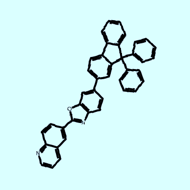 c1ccc(C2(c3ccccc3)c3ccccc3-c3ccc(-c4ccc5nc(-c6ccc7ncccc7c6)oc5c4)cc32)cc1